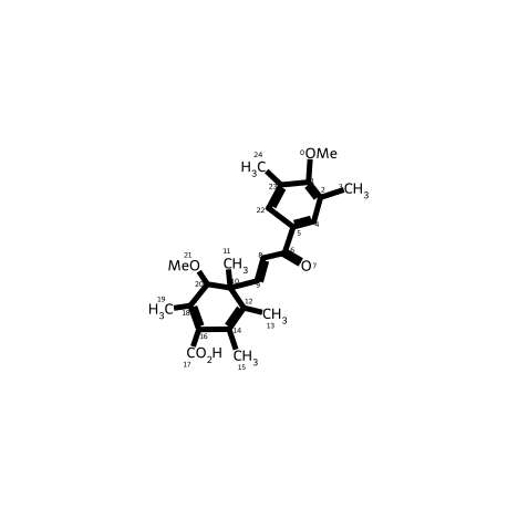 COc1c(C)cc(C(=O)C=CC2(C)C(C)=C(C)C(C(=O)O)=C(C)C2OC)cc1C